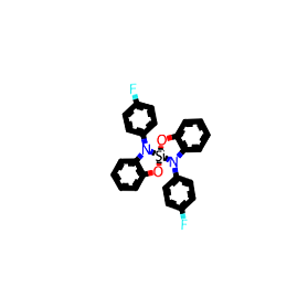 Fc1ccc(N2c3ccccc3O[Si]23Oc2ccccc2N3c2ccc(F)cc2)cc1